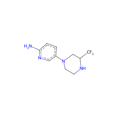 Nc1ccc(N2CCNC(C(F)(F)F)C2)cn1